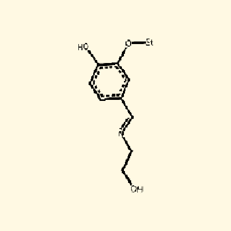 CCOc1cc(C=NCCO)ccc1O